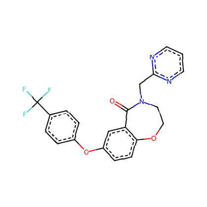 O=C1c2cc(Oc3ccc(C(F)(F)F)cc3)ccc2OCCN1Cc1ncccn1